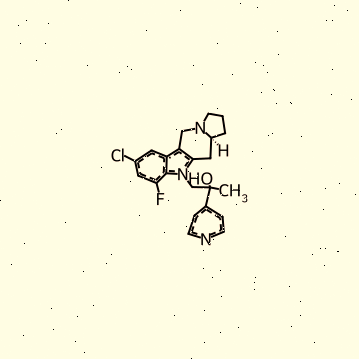 CC(O)(Cn1c2c(c3cc(Cl)cc(F)c31)CN1CCC[C@H]1C2)c1ccncc1